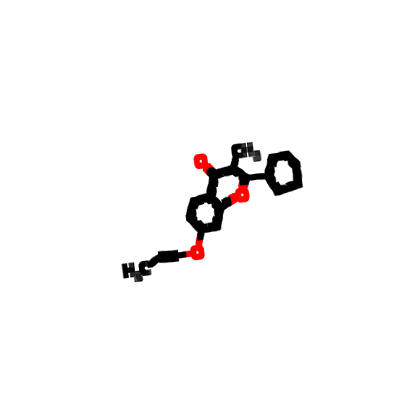 CC#COc1ccc2c(=O)c(C)c(-c3ccccc3)oc2c1